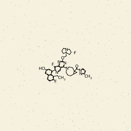 CCc1c(F)ccc2cc(O)cc(-c3ncc4c(N5CCCC6CC6(C(=O)n6ccc(C)n6)CC5)nc(OC[C@@]56CCCN5C[C@H](F)C6)nc4c3F)c12